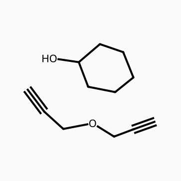 C#CCOCC#C.OC1CCCCC1